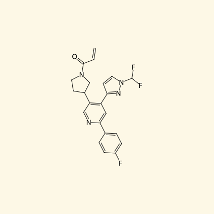 C=CC(=O)N1CCC(c2cnc(-c3ccc(F)cc3)cc2-c2ccn(C(F)F)n2)C1